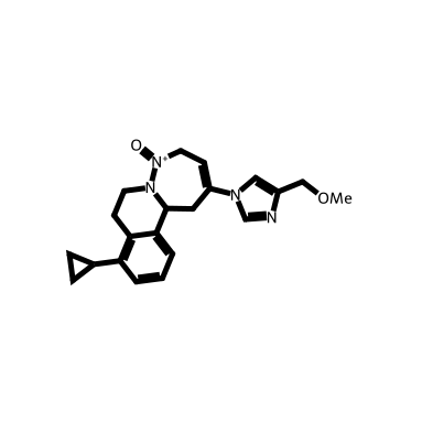 COCc1cn(C2=CC[N+](=O)N3CCc4c(C5CC5)cccc4C3C2)cn1